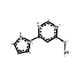 CC(C)Oc1cc(-n2cccn2)ncn1